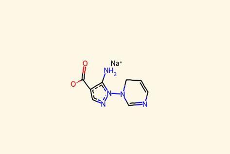 Nc1c(C(=O)[O-])cnn1N1C=NC=CC1.[Na+]